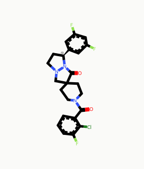 O=C(c1cccc(F)c1Cl)N1CCC2(CC1)CN1CC[C@@H](c3cc(F)cc(F)c3)N1C2=O